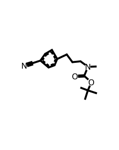 CN(CCCc1ccc(C#N)cc1)C(=O)OC(C)(C)C